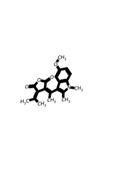 COc1ccc2c(c1)c(C(C)=C1C(=O)OC(=O)C1=C(C)C)c(C)n2C